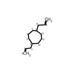 C=CCC1CCCC(CC=C)CCC1